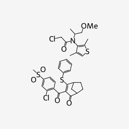 COCC(C)N(C(=O)CCl)c1c(C)csc1C.CS(=O)(=O)c1ccc(C(=O)C2=C(Sc3ccccc3)C3CCC(C3)C2=O)c(Cl)c1